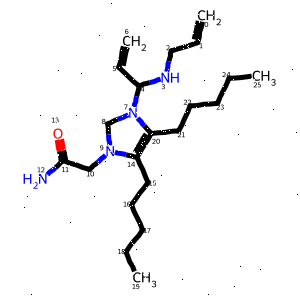 C=CCNC(C=C)N1CN(CC(N)=O)C(CCCCC)=C1CCCCC